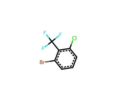 FC(F)(F)c1c(Cl)cccc1Br